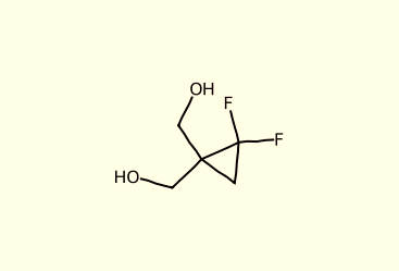 OCC1(CO)CC1(F)F